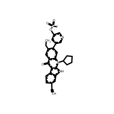 C#Cc1ccc2c(c1)[nH]c1c2c(=O)c2cc(CC)c(-c3cncc(OS(=O)(=O)F)c3)cc2n1C1CCCC1